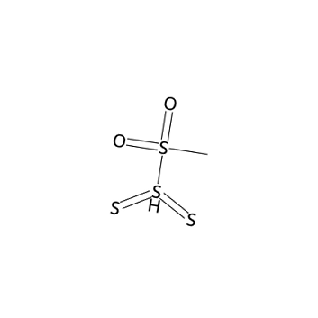 CS(=O)(=O)[SH](=S)=S